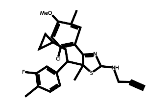 C#CCNC1N=C(c2cc(C)c(OC)cc2Cl)C(C)(C(CC2CC2)c2ccc(C)c(F)c2)S1